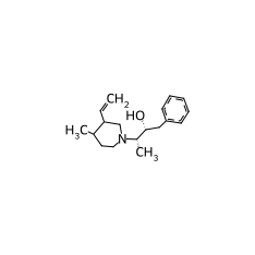 C=CC1CN([C@@H](C)[C@H](O)Cc2ccccc2)CCC1C